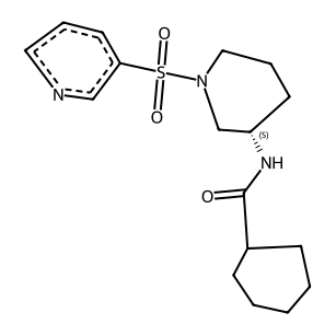 O=C(N[C@H]1CCCN(S(=O)(=O)c2cccnc2)C1)C1CCCCC1